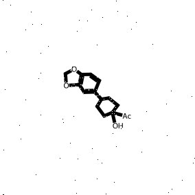 CC(=O)C1(O)CCC(c2ccc3c(c2)OCO3)CC1